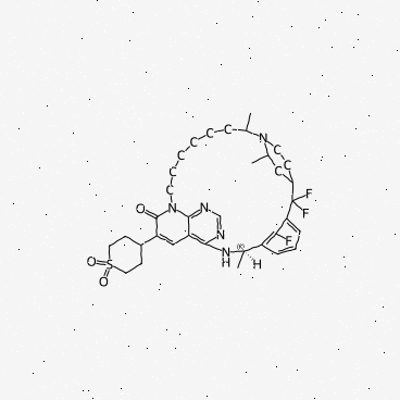 CC1CCCCCCn2c(=O)c(C3CCS(=O)(=O)CC3)cc3c(ncnc32)N[C@H](C)c2cccc(c2F)C(F)(F)C2CCN1C(C)C2